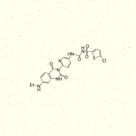 CCNc1ccc2c(=O)n(-c3ccc(NC(=O)NS(=O)(=O)c4ccc(Cl)s4)cn3)c(=O)[nH]c2c1